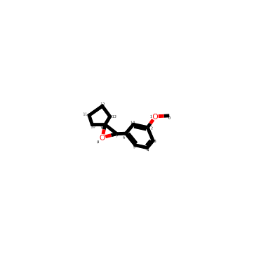 COc1cccc(C2OC23CCCC3)c1